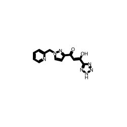 O=C(C=C(O)c1nn[nH]n1)c1ccn(Cc2ccccn2)n1